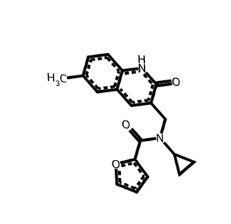 Cc1ccc2[nH]c(=O)c(CN(C(=O)c3ccco3)C3CC3)cc2c1